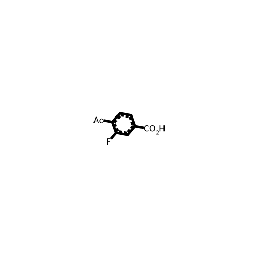 CC(=O)c1ccc(C(=O)O)cc1F